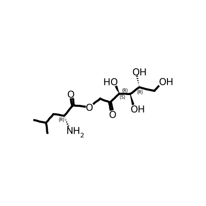 CC(C)C[C@@H](N)C(=O)OCC(=O)[C@@H](O)[C@H](O)[C@H](O)CO